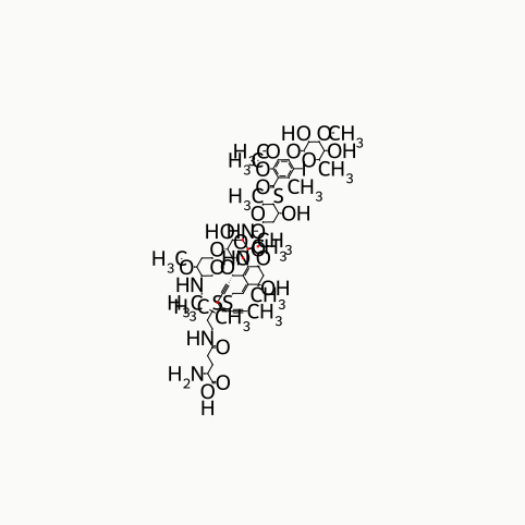 CC#C/C=C\C#C[C@H](O[C@@H]1O[C@H](C)[C@@H](NO[C@H]2C[C@H](O)[C@H](SC(=O)c3c(C)c(I)c(O[C@@H]4O[C@@H](C)[C@H](O)[C@@H](OC)[C@H]4O)c(OC)c3OC)[C@@H](C)O2)[C@@H](O)[C@H]1O[C@H]1C[C@H](OC)[C@@H](NCC)CO1)C1=C(NC(=O)OC)C(=O)C[C@](C)(O)/C1=C/CSSC(C)(C)CCNC(=O)CC[C@H](N)C(=O)O